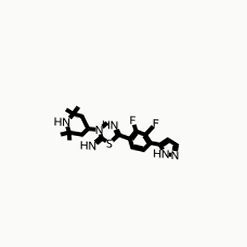 CN(C(=N)SC(=N)c1ccc(-c2ccn[nH]2)c(F)c1F)C1CC(C)(C)NC(C)(C)C1